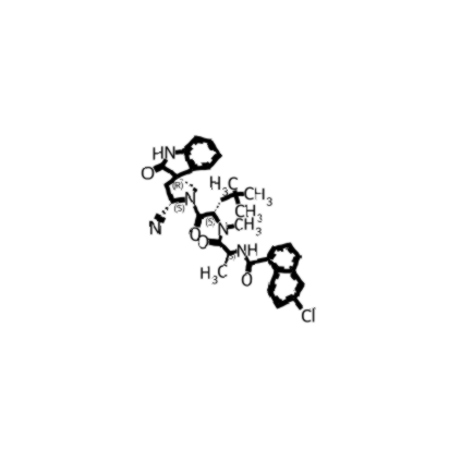 C[C@H](NC(=O)c1cccc2cc(Cl)ccc12)C(=O)N(C)[C@@H](CC(C)(C)C)C(=O)N1C[C@]2(C[C@H]1C#N)C(=O)Nc1ccccc12